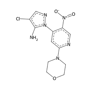 Nc1c(Cl)cnn1-c1cc(N2CCOCC2)ncc1[N+](=O)[O-]